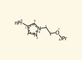 CCCc1cnn(CCOC(C)C)c1